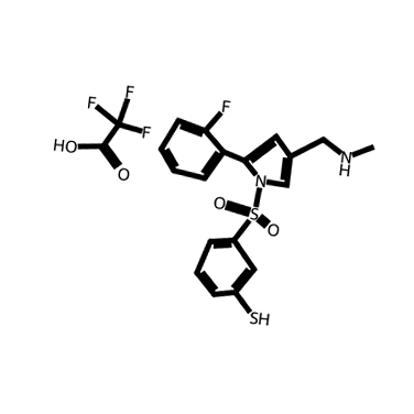 CNCc1cc(-c2ccccc2F)n(S(=O)(=O)c2cccc(S)c2)c1.O=C(O)C(F)(F)F